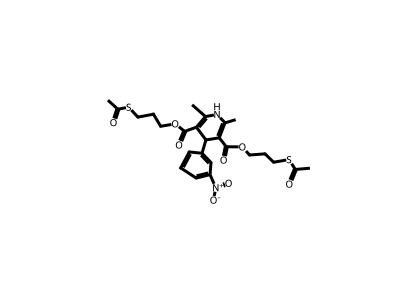 CC(=O)SCCCOC(=O)C1=C(C)NC(C)=C(C(=O)OCCCSC(C)=O)C1c1cccc([N+](=O)[O-])c1